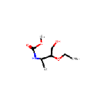 CCC(NC(=O)OC(C)(C)C)C(CO)OCOC